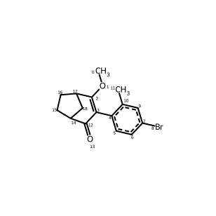 COC1=C(c2ccc(Br)cc2C)C(=O)C2CCC1C2